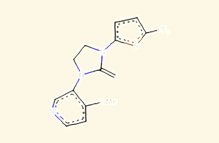 C=C1N(c2ccc(C(F)(F)F)s2)CCN1c1cnccc1OC